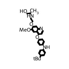 COc1cc2c(Oc3ccc(Nc4ccc(C(C)(C)C)cc4)cc3)ccnc2cc1OCCNC(C)CO